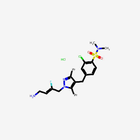 CC(C)c1nn(CC(F)=CCN)c(C(C)C)c1Cc1ccc(S(=O)(=O)N(C)C)c(Cl)c1.Cl